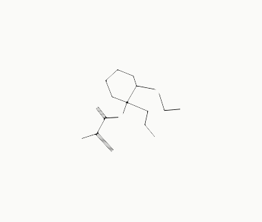 C=C(C)C(=O)OC1(CCC)CCCCC1OCC